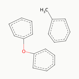 Cc1ccccc1.c1ccc(Oc2ccccc2)cc1